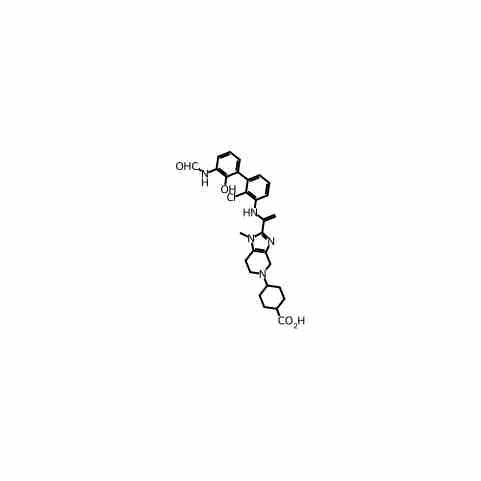 C=C(Nc1cccc(-c2cccc(NC=O)c2O)c1Cl)c1nc2c(n1C)CCN(C1CCC(C(=O)O)CC1)C2